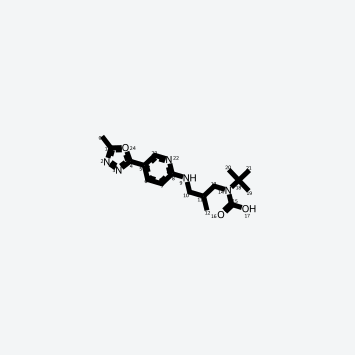 Cc1nnc(-c2ccc(NCC(C)CN(C(=O)O)C(C)(C)C)nc2)o1